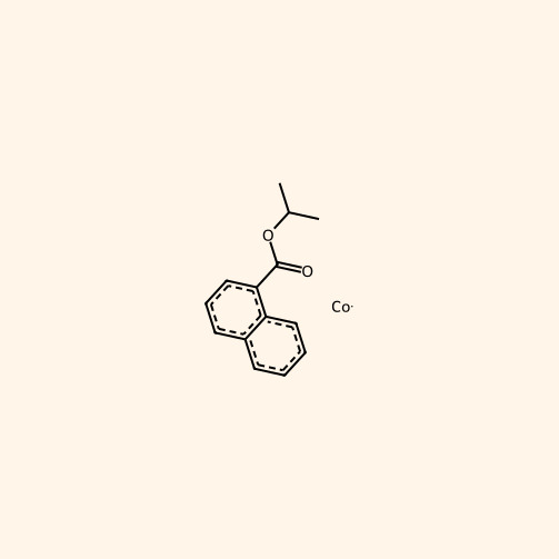 CC(C)OC(=O)c1cccc2ccccc12.[Co]